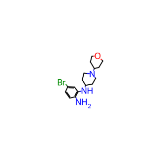 Nc1ccc(Br)cc1NC1CCN(C2CCOCC2)CC1